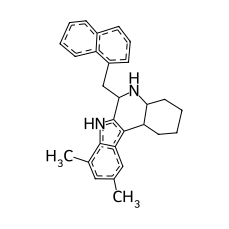 Cc1cc(C)c2[nH]c3c(c2c1)C1CCCCC1NC3Cc1cccc2ccccc12